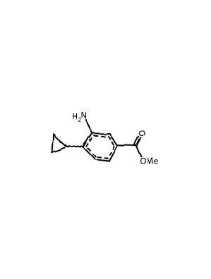 COC(=O)c1ccc(C2CC2)c(N)c1